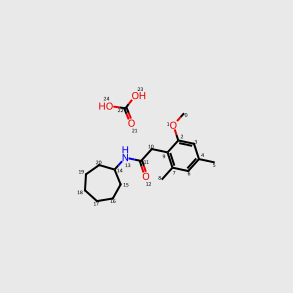 COc1cc(C)cc(C)c1CC(=O)NC1CCCCCC1.O=C(O)O